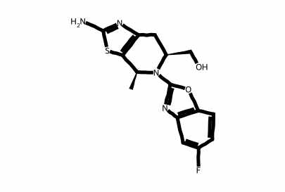 C[C@H]1c2sc(N)nc2C[C@@H](CO)N1c1nc2cc(F)ccc2o1